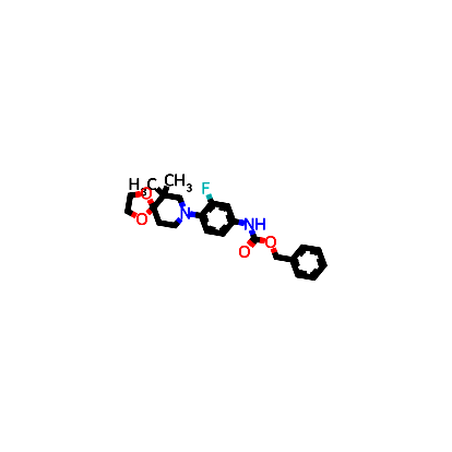 CC1(C)CN(c2ccc(NC(=O)OCc3ccccc3)cc2F)CCC12OCCO2